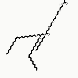 CCCCCCCC/C=C\CCCCCCCCOCC(CN(CCCCCCCC)C(=O)CCOCCOCCOCCOCCNC(=O)c1c[nH]cn1)OCCCCCCCC/C=C\CCCCCCCC